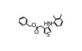 Cc1cccc(Nc2cscc2CC(=O)OCc2ccccc2)c1C